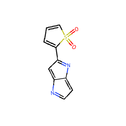 O=S1(=O)C=CC=C1C1=NC2=CC=NC2=C1